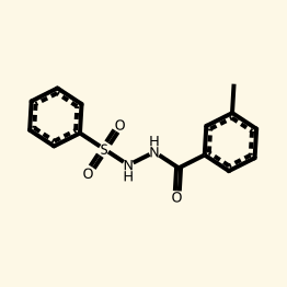 Cc1cccc(C(=O)NNS(=O)(=O)c2ccccc2)c1